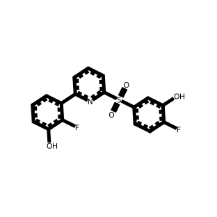 O=S(=O)(c1ccc(F)c(O)c1)c1cccc(-c2cccc(O)c2F)n1